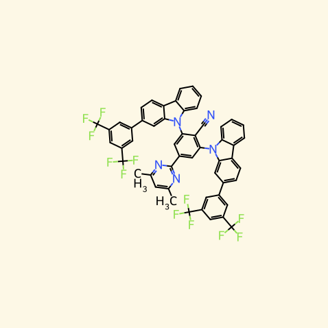 Cc1cc(C)nc(-c2cc(-n3c4ccccc4c4ccc(-c5cc(C(F)(F)F)cc(C(F)(F)F)c5)cc43)c(C#N)c(-n3c4ccccc4c4ccc(-c5cc(C(F)(F)F)cc(C(F)(F)F)c5)cc43)c2)n1